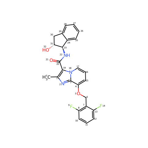 Cc1nc2c(OCc3c(F)cccc3F)cccn2c1C(=O)N[C@@H]1c2ccccc2C[C@H]1O